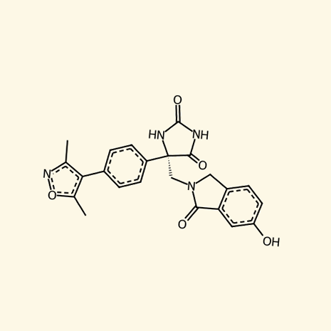 Cc1noc(C)c1-c1ccc([C@@]2(CN3Cc4ccc(O)cc4C3=O)NC(=O)NC2=O)cc1